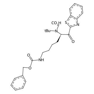 CC(C)(C)N(C(=O)O)[C@H](CCCCNC(=O)OCc1ccccc1)C(=O)c1nc2ccccc2s1